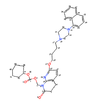 O=C(OCN1C(=O)CCc2ccc(OCCCCN3CCN(c4cccc5ccccc45)CC3)nc21)OC1CCCCC1